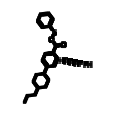 CCCC1CCC(c2ccc(C(=O)OSc3ccccc3)cc2)CC1.F.F.F.F.F